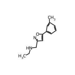 CCNCc1cc(-c2cccc(C)c2)on1